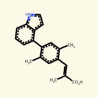 C/C(=C\c1cc(C)c(-c2cccc3[nH]ccc23)cc1C)C(=O)O